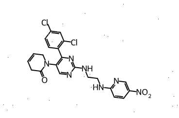 O=C1CC=CCN1c1cnc(NCCNc2ccc([N+](=O)[O-])cn2)nc1-c1ccc(Cl)cc1Cl